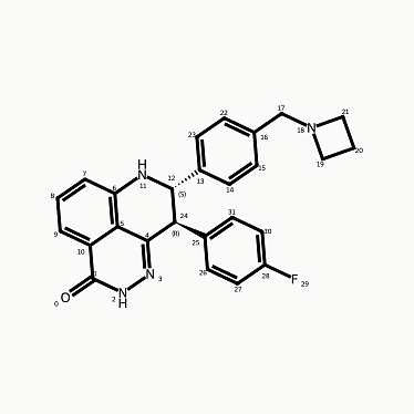 O=c1[nH]nc2c3c(cccc13)N[C@H](c1ccc(CN3CCC3)cc1)[C@H]2c1ccc(F)cc1